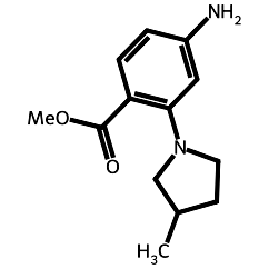 COC(=O)c1ccc(N)cc1N1CCC(C)C1